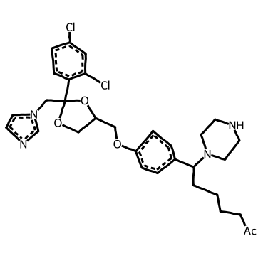 CC(=O)CCCCC(c1ccc(OCC2COC(Cn3ccnc3)(c3ccc(Cl)cc3Cl)O2)cc1)N1CCNCC1